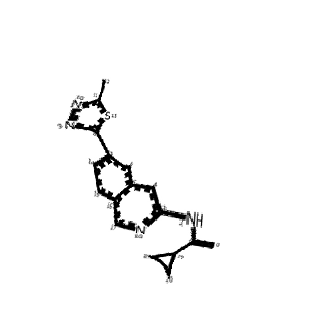 C=C(Nc1cc2cc(-c3nnc(C)s3)ccc2cn1)C1CC1